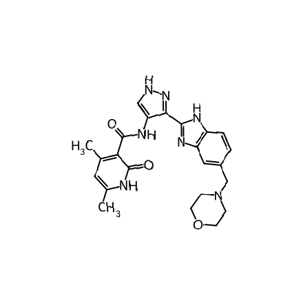 Cc1cc(C)c(C(=O)Nc2c[nH]nc2-c2nc3cc(CN4CCOCC4)ccc3[nH]2)c(=O)[nH]1